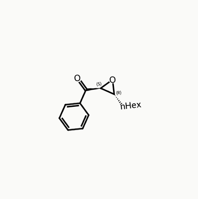 CCCCCC[C@H]1O[C@@H]1C(=O)c1ccccc1